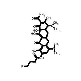 CN(C)c1cc(NC(=O)CCCBr)c(O)c2c1CC1CC3[C@H](N(C)C)C(O)=C(C(N)=O)C(=O)[C@@]3(O)C(O)=C1C2=O